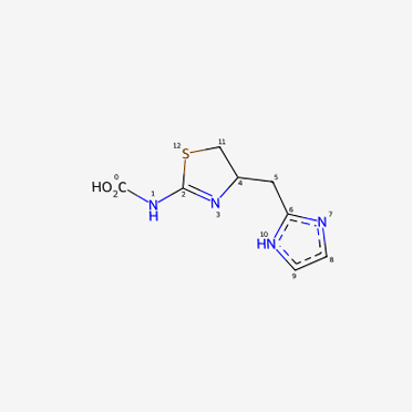 O=C(O)NC1=NC(Cc2ncc[nH]2)CS1